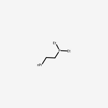 CCCCCP(CC)CC